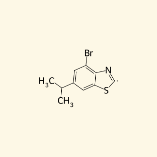 CC(C)c1cc(Br)c2n[c]sc2c1